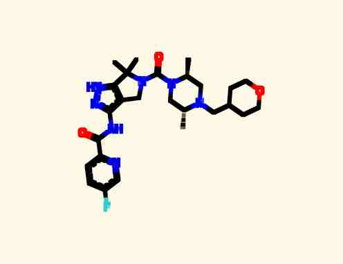 C[C@@H]1CN(C(=O)N2Cc3c(NC(=O)c4ccc(F)cn4)n[nH]c3C2(C)C)[C@@H](C)CN1CC1CCOCC1